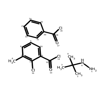 CC(C)(C)NN.Cc1cccc(C(=O)Cl)c1Cl.O=C(Cl)c1ccccc1